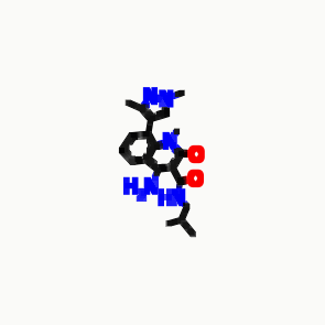 Cc1nn(C)cc1-c1cccc2c(N)c(C(=O)NCC(C)C)c(=O)n(C)c12